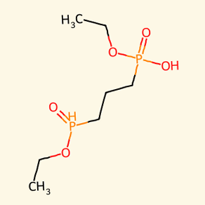 CCO[PH](=O)CCCP(=O)(O)OCC